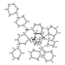 c1ccc(-c2ccc(N(c3ccc4c(c3)C3(c5ccccc5-4)c4ccccc4C(c4ccccc4)(c4ccccc4)c4ccccc43)c3ccc(-c4ccccc4)cc3-c3ccccc3)cc2)cc1